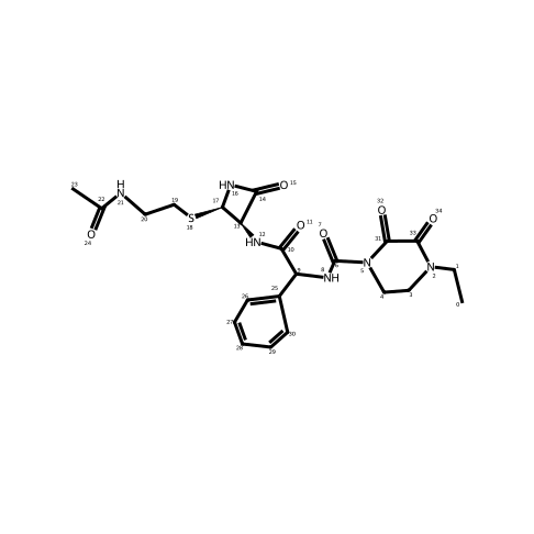 CCN1CCN(C(=O)NC(C(=O)N[C@@H]2C(=O)N[C@@H]2SCCNC(C)=O)c2ccccc2)C(=O)C1=O